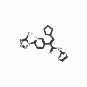 Cc1nnnn1-c1ccc(/C(=C\C2CCCC2)C(=O)Nc2nccs2)cn1